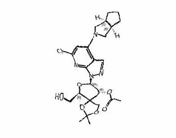 CC(=O)O[C@H]1[C@H](n2ncc3c(N4C[C@H]5CCC[C@H]5C4)cc(Cl)nc32)O[C@H](CO)C12COC(C)(C)O2